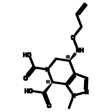 C=CCON[C@H]1CN(C(=O)O)[C@@H](C(=O)O)c2c1cnn2C